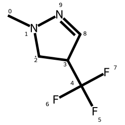 CN1[CH]C(C(F)(F)F)C=N1